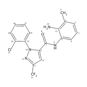 Cc1cccc(NC(=O)c2cc(C(F)(F)F)nn2-c2ccccc2Cl)c1N